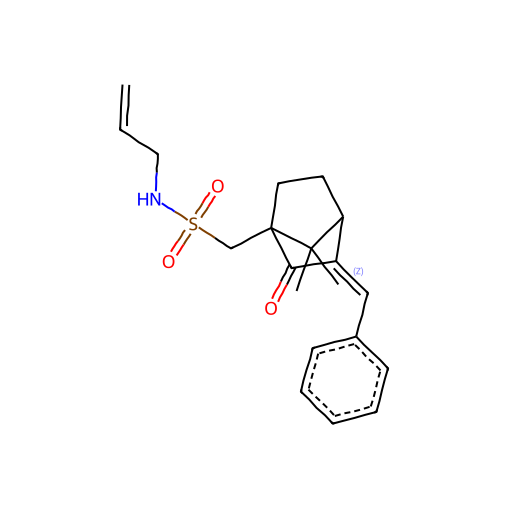 C=CCNS(=O)(=O)CC12CCC(/C(=C/c3ccccc3)C1=O)C2(C)C